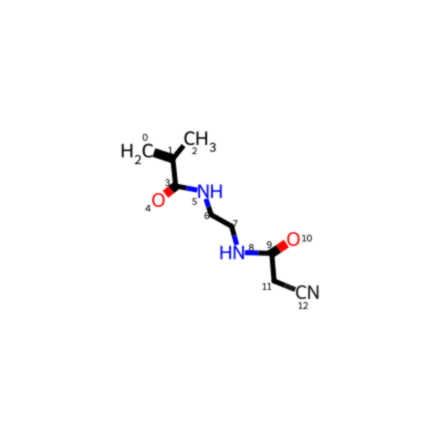 C=C(C)C(=O)NCCNC(=O)CC#N